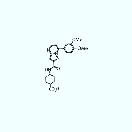 COc1ccc(-c2ccnc3cc(C(=O)NC4CCC(C(=O)O)CC4)nn23)cc1OC